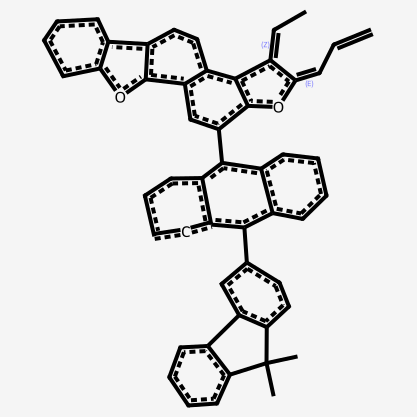 C=C/C=c1/oc2c(-c3c4ccccc4c(-c4ccc5c(c4)-c4ccccc4C5(C)C)c4ccccc34)cc3c(ccc4c5ccccc5oc43)c2/c1=C/C